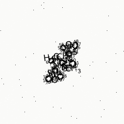 C[Si]1(C)c2ccccc2N(c2ccc3c(c2)Sc2ccccc2P3(=O)c2ccccc2)c2cc3c(cc21)N(c1ccc2c(c1)Sc1ccccc1P2(=O)c1ccccc1)c1ccccc1[Si]3(C)C